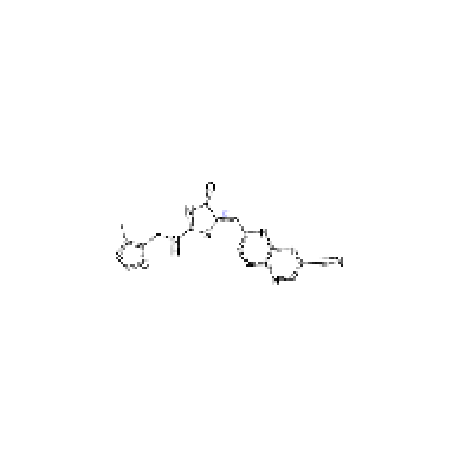 Cc1ccsc1CNC1=NC(=O)/C(=C/c2ccc3ncc(C#N)cc3n2)S1